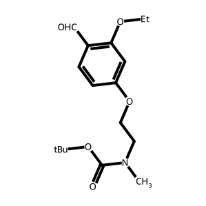 CCOc1cc(OCCN(C)C(=O)OC(C)(C)C)ccc1C=O